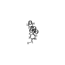 CCc1ccc(S(=O)(=O)O[C@@H]2CCOC2)cc1